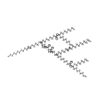 CCCCCCCCCCCSSCCCCCN(CCCCCCCC(=O)OC(CCCCCCCC)CCCCCCCC)CCNC(=O)CC(=O)NCCN(CCCCCCCC(=O)OC(CCCCCCCC)CCCCCCCC)CCCCCSSCCCCCCCCCCC